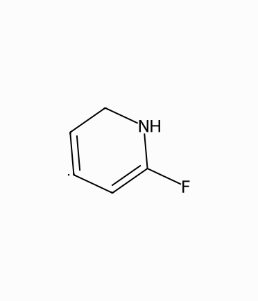 FC1=C[C]=CCN1